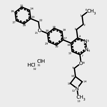 CCCCc1nnc(OCC2CN(C)C2)cc1-c1ccc(OCc2ccccc2)cc1.Cl.Cl